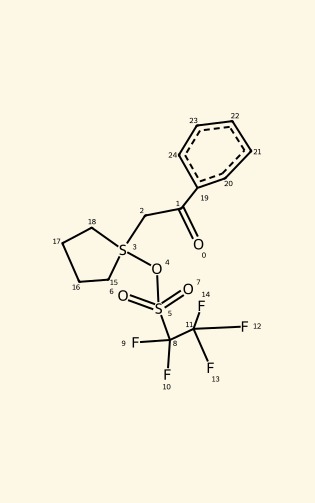 O=C(CS1(OS(=O)(=O)C(F)(F)C(F)(F)F)CCCC1)c1ccccc1